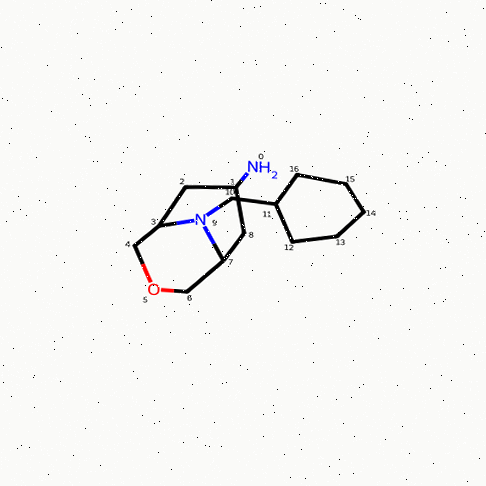 NC1CC2COCC(C1)N2CC1CCCCC1